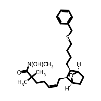 CN(O)C(=O)C(C)(C)CC/C=C\C[C@H]1[C@@H](CCCCSCc2ccccc2)[C@H]2CC[C@@H]1O2